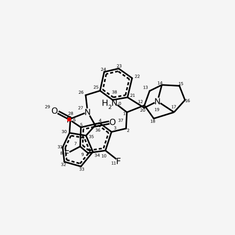 NC(Cc1cc(F)c(F)cc1F)C1CC2CCC(C1)N2Cc1cccc(CN2C(=O)c3ccccc3C2=O)c1